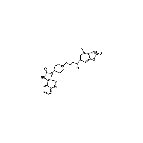 Cc1cc(C(=O)CCCN2CCC(n3c(=O)[nH]c4c5ccccc5ncc43)CC2)cc2oc(=O)[nH]c12